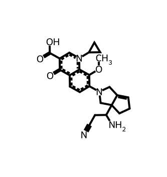 COc1c(N2CC3=CCCC3(C(N)CC#N)C2)ccc2c(=O)c(C(=O)O)cn(C3CC3)c12